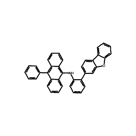 c1ccc(-c2c3ccccc3c(Nc3ccccc3-c3ccc4c(c3)oc3ccccc34)c3ccccc23)cc1